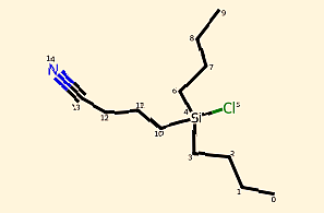 CCCC[Si](Cl)(CCCC)CCCC#N